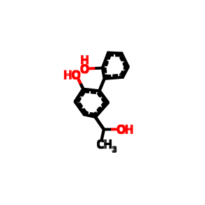 CC(O)c1ccc(O)c(-c2ccccc2O)c1